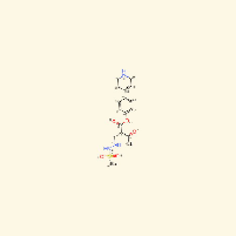 CCC(=O)C(CNNS(=O)(=O)[C@@H](C)CC)C(=O)Oc1ccc(C2=CCNCC2)cc1